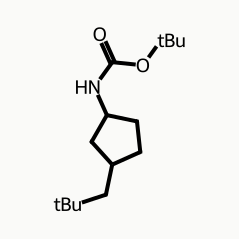 CC(C)(C)CC1CCC(NC(=O)OC(C)(C)C)C1